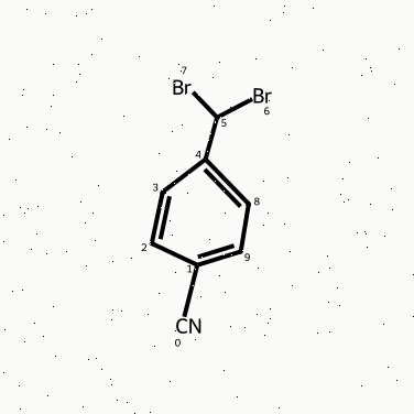 N#Cc1ccc(C(Br)Br)cc1